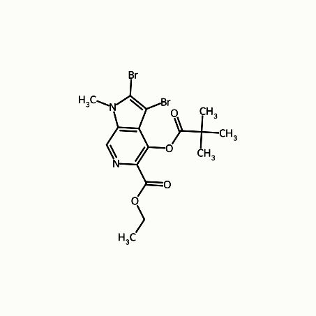 CCOC(=O)c1ncc2c(c(Br)c(Br)n2C)c1OC(=O)C(C)(C)C